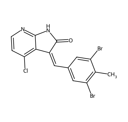 Cc1c(Br)cc(C=C2C(=O)Nc3nccc(Cl)c32)cc1Br